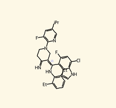 CCc1cccc(CC)c1N/C(=C1/CN(c2ncc(C(C)C)cc2F)CCC1=N)c1c(F)cc(Cl)c2[nH]ccc12